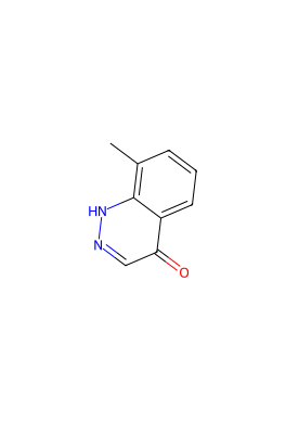 Cc1cccc2c(=O)cn[nH]c12